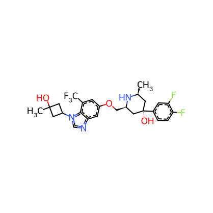 C[C@H]1C[C@@](O)(c2ccc(F)c(F)c2)C[C@@H](COc2cc(C(F)(F)F)c3c(c2)ncn3C2CC(C)(O)C2)N1